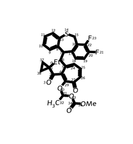 CCC1(C(=O)c2c(CC3c4ccccc4SCc4c3ccc(F)c4F)cccc(=O)c2OC(C)OC(=O)OC)CC1